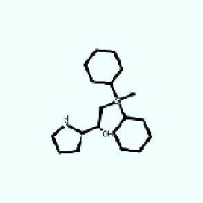 C[Si](C[C@H](O)[C@H]1CCCN1)(C1CCCCC1)C1CCCCC1